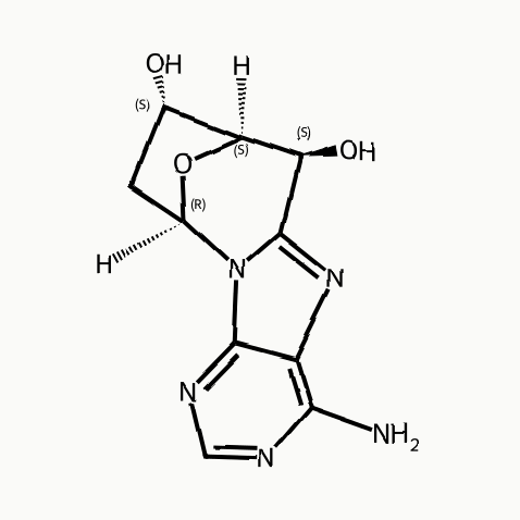 Nc1ncnc2c1nc1n2[C@H]2C[C@H](O)[C@H](O2)[C@H]1O